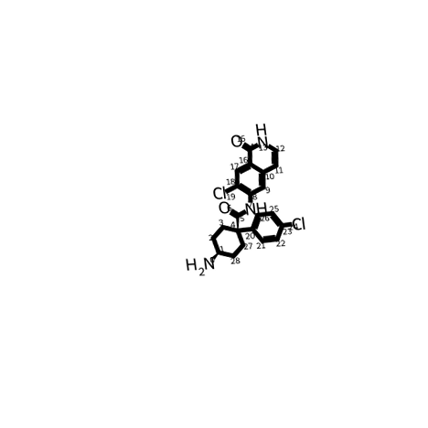 N[C@H]1CC[C@](C(=O)Nc2cc3cc[nH]c(=O)c3cc2Cl)(c2ccc(Cl)cc2)CC1